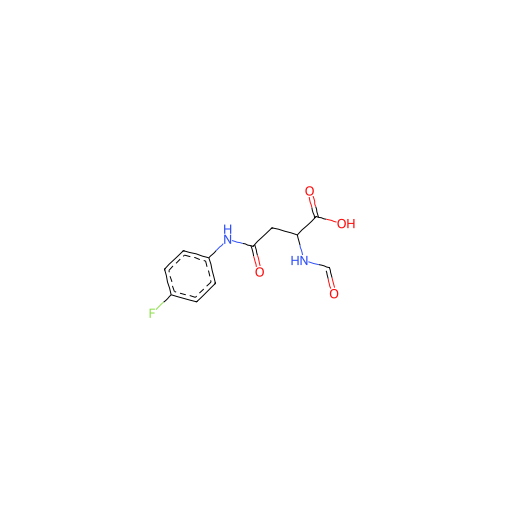 O=CNC(CC(=O)Nc1ccc(F)cc1)C(=O)O